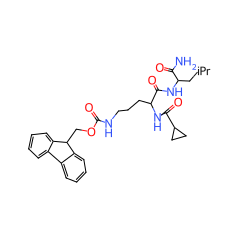 CC(C)CC(NC(=O)C(CCCNC(=O)OCC1c2ccccc2-c2ccccc21)NC(=O)C1CC1)C(N)=O